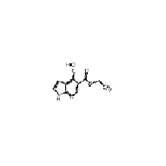 CCOC(=O)c1cnc2[nH]ccc2c1Cl.Cl